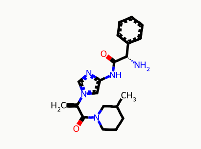 C=C(C(=O)N1CCCC(C)C1)n1cnc(NC(=O)[C@@H](N)c2ccccc2)c1